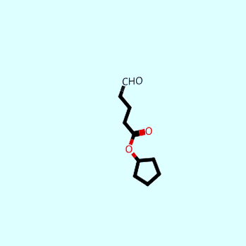 O=CCCCC(=O)OC1CCCC1